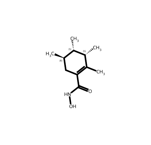 CC1=C(C(=O)NO)C[C@@H](C)[C@H](C)[C@@H]1C